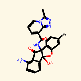 Cc1nnc2c(C(=O)NC34C(=O)c5c(N)cccc5C3(O)Oc3cc(C(C)C)ccc34)cccn12